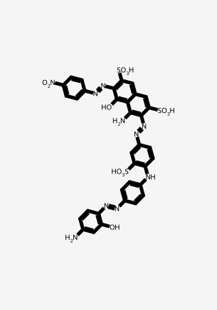 Nc1ccc(N=Nc2ccc(Nc3ccc(N=Nc4c(S(=O)(=O)O)cc5cc(S(=O)(=O)O)c(N=Nc6ccc([N+](=O)[O-])cc6)c(O)c5c4N)cc3S(=O)(=O)O)cc2)c(O)c1